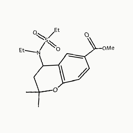 CCN(C1CC(C)(C)Oc2ccc(C(=O)OC)cc21)S(=O)(=O)CC